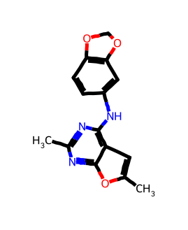 Cc1nc(Nc2ccc3c(c2)OCO3)c2cc(C)oc2n1